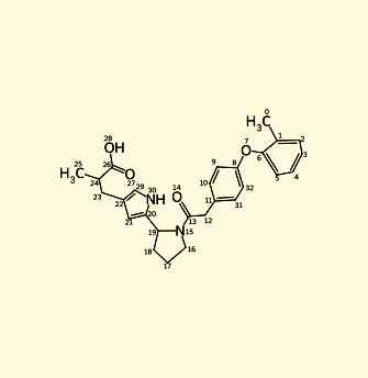 Cc1ccccc1Oc1ccc(CC(=O)N2CCCC2c2cc(CC(C)C(=O)O)c[nH]2)cc1